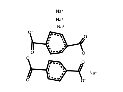 O=C([O-])c1ccc(C(=O)[O-])cc1.O=C([O-])c1ccc(C(=O)[O-])cc1.[Na+].[Na+].[Na+].[Na+]